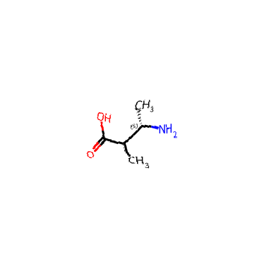 CC(C(=O)O)[C@H](C)N